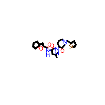 CC(C)CC(NC(=O)c1cc2ccccc2o1)C(=O)NC1CCCN(Cc2cccs2)CC1=O